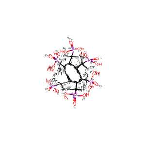 CCCC(CCC)(c1c(C(CCC)(CCC)P(=O)(O)O)c(C(CCC)(CCC)P(=O)(O)O)c(C(CCC)(CCC)P(=O)(O)O)c(C(CCC)(CCC)P(=O)(O)O)c1C(CCC)(CCC)P(=O)(O)O)P(=O)(O)O